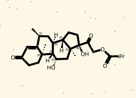 CC(C)C(=O)OCC(=O)[C@@]1(O)CC[C@H]2[C@@H]3C[C@H](C)C4=CC(=O)CC[C@]4(C)[C@H]3[C@@H](O)C[C@@]21C